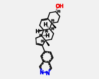 C[C@]12CC[C@@H](O)CC1=CC[C@@H]1[C@@H]2CC[C@]2(C)C(c3ccc4cnncc4c3)=CC[C@@H]12